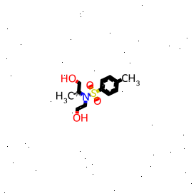 Cc1ccc(S(=O)(=O)N(CCO)[C@H](C)CO)cc1